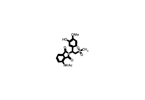 COc1ccc(C(CS(C)(=O)=O)N2C(=O)c3cccc(NC(C)=O)c3C2=O)cc1O